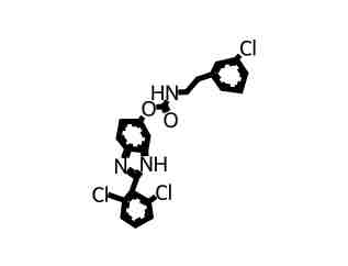 O=C(NCCc1cccc(Cl)c1)Oc1ccc2nc(-c3c(Cl)cccc3Cl)[nH]c2c1